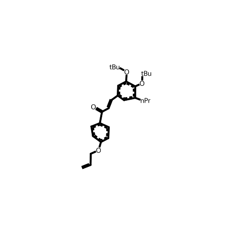 C=CCOc1ccc(C(=O)C=Cc2cc(CCC)c(OC(C)(C)C)c(OC(C)(C)C)c2)cc1